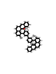 Nc1ccc(-c2ccc(N)c(-c3c(Br)ccc4ccc5cc6ccccc6cc5c34)c2)cc1-c1c(Br)ccc2ccc3cc4ccccc4cc3c12